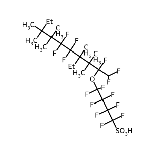 CCC(C)(C)C(C)(C)C(F)(F)C(F)(F)C(C)(CC)C(C)(C)C(F)(OC(F)(F)C(F)(F)C(F)(F)C(F)(F)S(=O)(=O)O)C(F)F